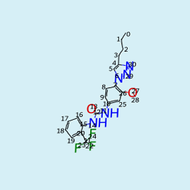 CCCCc1cn(-c2ccc(NC(=O)Nc3ccccc3C(F)(F)F)cc2OC)nn1